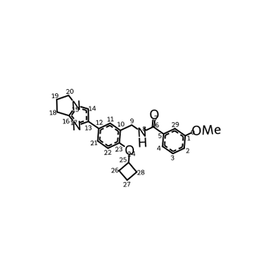 COc1cccc(C(=O)NCc2cc(-c3cn4c(n3)CCC4)ccc2OC2CCC2)c1